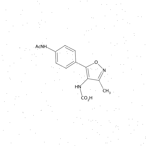 CC(=O)Nc1ccc(-c2onc(C)c2NC(=O)O)cc1